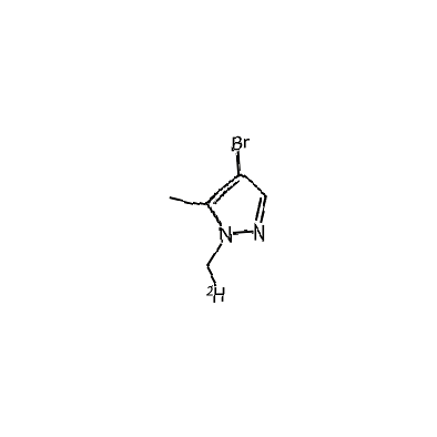 [2H]Cn1ncc(Br)c1C